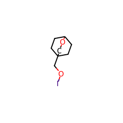 IOCC12CCC(CC1)OC2